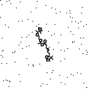 CCC(C)(C)C(=O)CCSCCC(=O)OC(C)OCCOC(C)C(C)(C)CC